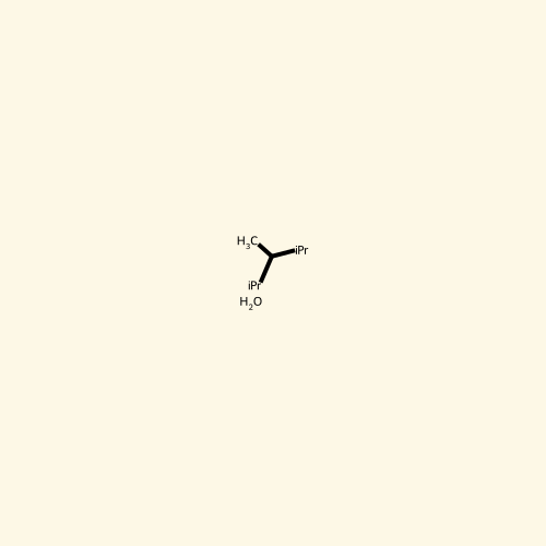 CC(C)C(C)C(C)C.O